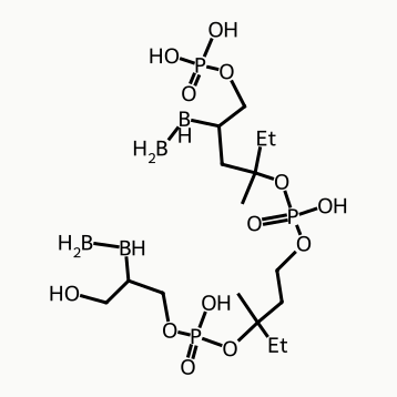 BBC(CO)COP(=O)(O)OC(C)(CC)CCOP(=O)(O)OC(C)(CC)CC(BB)COP(=O)(O)O